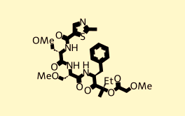 CC[C@@](C)(OC(=O)COC)C(=O)[C@H](Cc1ccccc1)NC(=O)[C@H](COC)NC(=O)[C@H](COC)NC(=O)c1cnc(C)s1